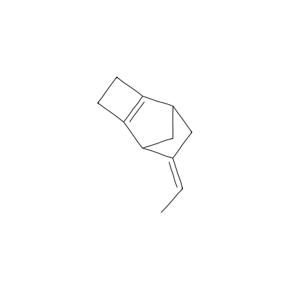 CC=C1CC2CC1C1=C2CC1